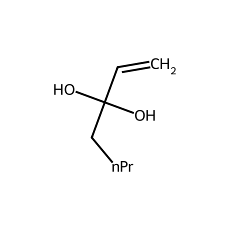 C=CC(O)(O)CCCC